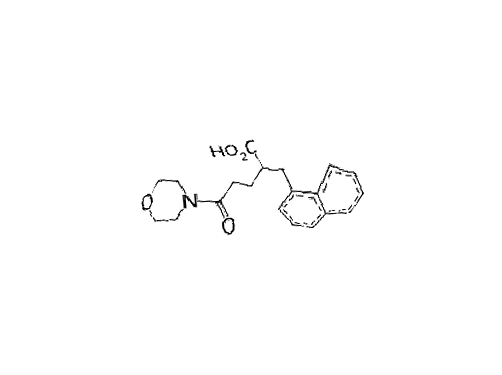 O=C(O)C(CCC(=O)N1CCOCC1)Cc1cccc2ccccc12